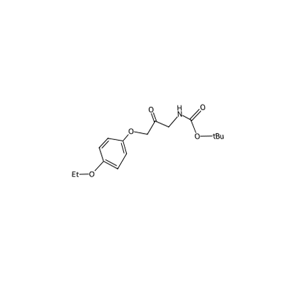 CCOc1ccc(OCC(=O)CNC(=O)OC(C)(C)C)cc1